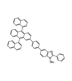 CC(C)(C)n1c(-c2ccccc2)nc2cc(-c3ccc(-c4ccc5c(-c6cccc7ccccc67)c6ccccc6c(-c6cccc7ccccc67)c5c4)cc3)ccc21